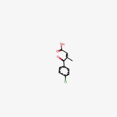 C/C(=C/C(=O)O)C(=O)c1ccc(Cl)cc1